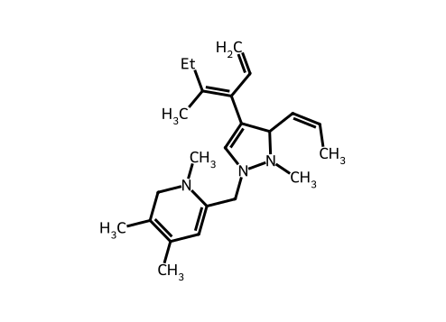 C=C/C(C1=CN(CC2=CC(C)=C(C)CN2C)N(C)C1/C=C\C)=C(/C)CC